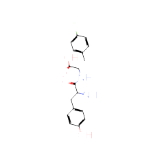 NC(Cc1ccc(O)cc1)C(=O)N[C@@H](Cc1ccc(F)cc1)C(=O)O